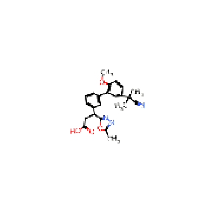 COc1ccc(C(C)(C)C#N)cc1-c1cccc(C(CC(=O)O)c2nnc(C)o2)c1